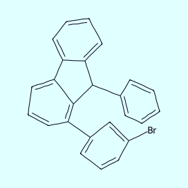 Brc1cccc(-c2cccc3c2C(c2ccccc2)c2ccccc2-3)c1